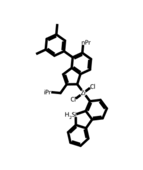 CCCc1ccc2c(c1-c1cc(C)cc(C)c1)C=C(CC(C)C)[CH]2[Zr]([Cl])([Cl])[c]1cccc2c1[SiH2]c1ccccc1-2